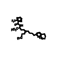 CC(C)OCCN(CCCCc1ccc2c(n1)NCCC2)CC[C@H](NC(=O)c1nccnc1C(F)(F)F)C(=O)O